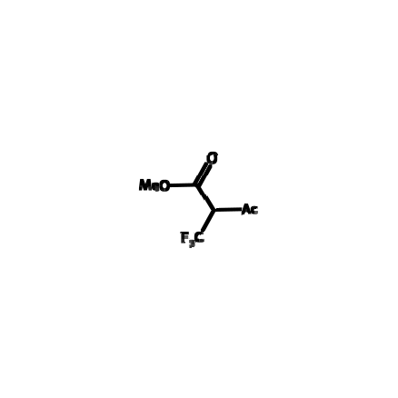 COC(=O)C(C(C)=O)C(F)(F)F